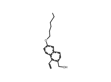 C=Cc1c(CO)ccc2cc(OCCCCCC)ccc12